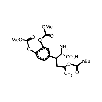 CCCCC(=O)OC(C)CC(c1ccc(OC(=O)OC)c(OC(=O)OC)c1)[C@H](N)C(=O)O